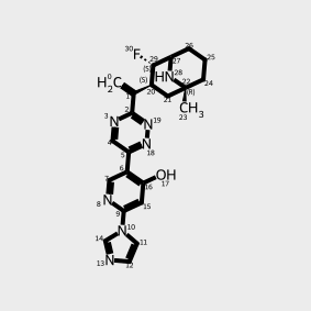 C=C(c1ncc(-c2cnc(-n3ccnc3)cc2O)nn1)[C@@H]1C[C@@]2(C)CCCC(N2)[C@H]1F